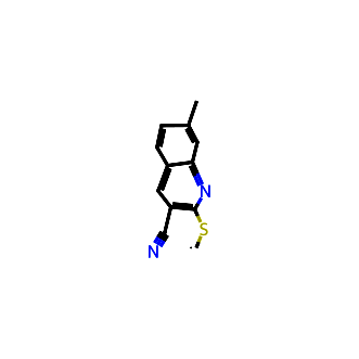 [CH2]Sc1nc2cc(C)ccc2cc1C#N